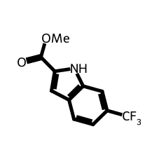 COC(=O)c1cc2ccc(C(F)(F)F)cc2[nH]1